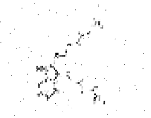 CCCCCCSC1Nc2ccccc2N1CCCCCC